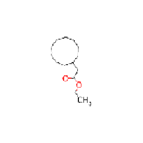 CCOC(=O)CC1CCCCCCCCC1